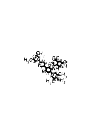 CC1CN(c2ncc(-c3c(F)cc(N4CC(C)N(C)C(C)C4)c(NC(=O)c4c[nH]c(=O)cc4C(F)(F)F)c3F)cn2)CC(C)O1